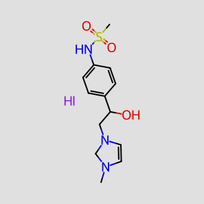 CN1C=CN(CC(O)c2ccc(NS(C)(=O)=O)cc2)C1.I